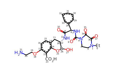 CCN1CCN(C(=O)NC(C(=O)N[C@H]2Cc3ccc(OCCN)c(C(=O)O)c3OB2O)c2ccccc2)C(=O)C1=O